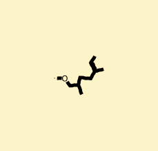 [CH2]OCC(C)CCC(C)=CC